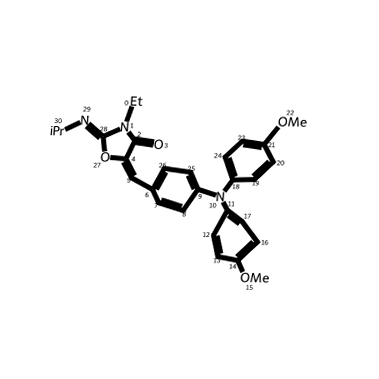 CCN1C(=O)/C(=C\c2ccc(N(c3ccc(OC)cc3)c3ccc(OC)cc3)cc2)OC1=NC(C)C